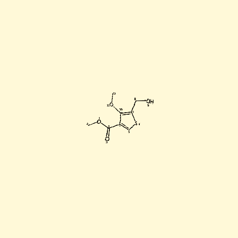 COC(=O)c1csc(CO)c1OC